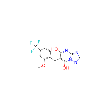 COc1cc(C(F)(F)F)ccc1Cc1c(O)nc2ncnn2c1O